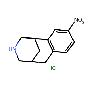 Cl.O=[N+]([O-])c1ccc2c(c1)C1CNCC(C2)C1